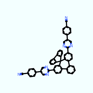 N#Cc1ccc(-c2cnc(-c3ccc4c(c3)C3(c5cc(-c6ncc(-c7ccc(C#N)cc7)cn6)ccc5-c5ccccc5-4)c4ccccc4-c4ccccc43)nc2)cc1